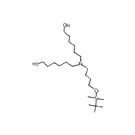 CC(C)(C)[Si](C)(C)OCCCCN(CCCCCCO)CCCCCCO